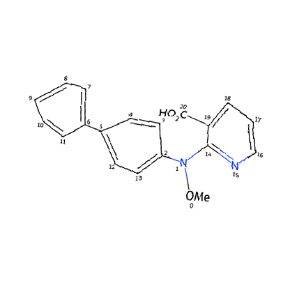 CON(c1ccc(-c2ccccc2)cc1)c1ncccc1C(=O)O